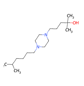 CC(C)CCCCN1CCN(CCCC(C)(C)O)CC1